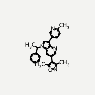 Cc1ccc(-c2cn(C(C)c3ccccc3)c3cc(-c4c(C)noc4C)cnc23)cn1